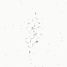 C#Cc1cc(C#C)c2c(C34CC5CC(C3)CC(C36CC7CC(CC(c8cccc9cc(C#C)cc(C#C)c89)(C7)C3)C6)(C5)C4)cccc2c1